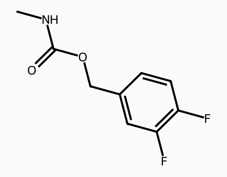 CNC(=O)OCc1ccc(F)c(F)c1